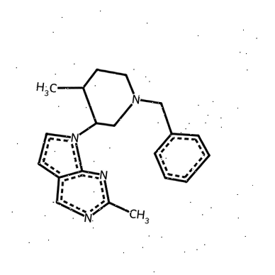 Cc1n[c]c2ccn(C3CN(Cc4ccccc4)CCC3C)c2n1